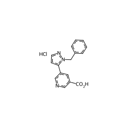 Cl.O=C(O)c1cncc(-c2ccnn2Cc2ccccc2)c1